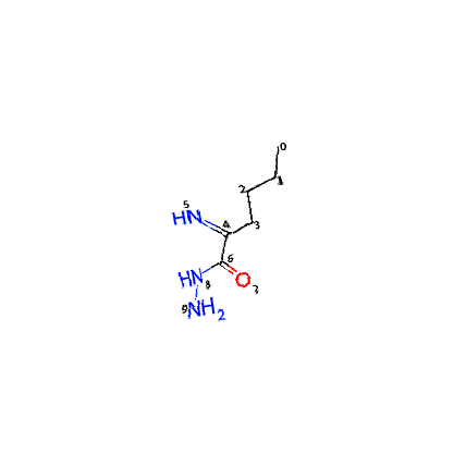 CCCCC(=N)C(=O)NN